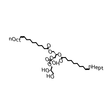 CCCCCCC/C=C\CCCCCCCC(=O)O[C@H](COC(=O)CCCCCCC/C=C\CCCCCCCC)COP(=O)(O)OC[C@@H](O)CO